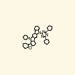 c1ccc(-c2nc(-c3ccccc3)nc(-n3c4ccccc4c4cc5c(cc43)c3ccc4oc6ccccc6c4c3n5-c3ccccc3)n2)cc1